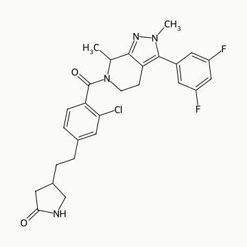 CC1c2nn(C)c(-c3cc(F)cc(F)c3)c2CCN1C(=O)c1ccc(CCC2CNC(=O)C2)cc1Cl